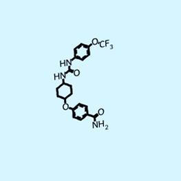 NC(=O)c1ccc(OC2CCC(NC(=O)Nc3ccc(OC(F)(F)F)cc3)CC2)cc1